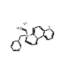 C=C[N+]1(Cc2ccccc2)C=CC=c2c1ccc1c2=CC=CN1.[Cl-]